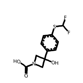 O=C(O)N1CC(O)(c2ccc(SC(F)F)cc2)C1